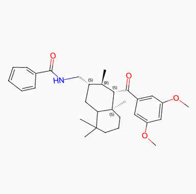 COc1cc(OC)cc(C(=O)[C@H]2[C@H](C)[C@@H](CNC(=O)c3ccccc3)CC3C(C)(C)CCC[C@@]32C)c1